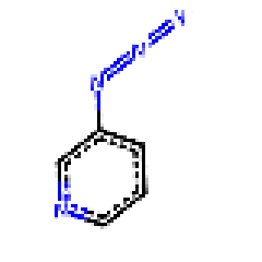 [N-]=[N+]=Nc1cccnc1